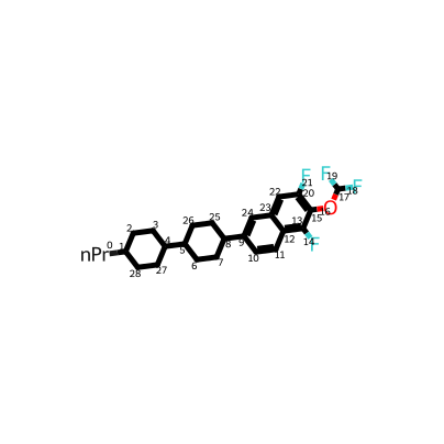 CCCC1CCC(C2CCC(c3ccc4c(F)c(OC(F)F)c(F)cc4c3)CC2)CC1